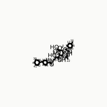 CO[C@]1(C(=O)O)C[C@@H](NS(=O)(=O)c2ccc(C)cc2)C(NC(C)=O)C([C@H](O)[C@H](O)CNC(=O)c2ccc(-c3ccccc3)cc2)O1